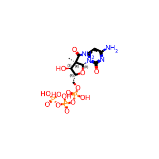 C[C@@]1(C(N)=O)[C@H](O)[C@@H](COP(=O)(O)OP(=O)(O)OP(=O)(O)O)O[C@H]1n1ccc(N)nc1=O